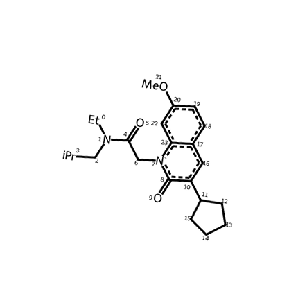 CCN(CC(C)C)C(=O)Cn1c(=O)c(C2CCCC2)cc2ccc(OC)cc21